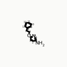 Nc1ccc(OCCc2ccccc2)nc1